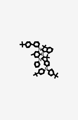 Cc1cc2c3c(c1)N(c1cccc(-c4ccc(C(C)(C)C)cc4)c1)C1=C(B3C3=C(c4cc(N(c5ccc(C(C)(C)C)cc5)c5ccc(C(C)(C)C)cc5)ccc4C3(C)C)N2c2ccccc2)c2ccccc2C1(C)C